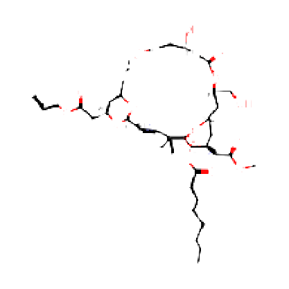 C=CCOC(=O)C[C@H]1CC2CCOCC[C@@H](O)CC(=O)O[C@@H](CO)C[C@@H]3C/C(=C\C(=O)OC)[C@H](OC(=O)CCCCCCC)[C@@](O)(O3)C(C)(C)/C=C/[C@H](O2)O1